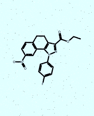 CCOC(=O)c1nn(-c2ccc(F)cc2)c2c1CCc1ccc([N+](=O)[O-])cc1-2